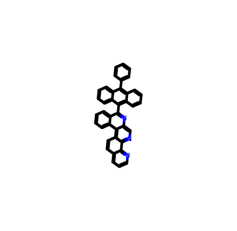 c1ccc(-c2c3ccccc3c(-c3nc4cnc5c(ccc6cccnc65)c4c4ccccc34)c3ccccc23)cc1